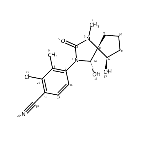 Cc1c(N2C(=O)N(C)[C@@]3(CCC[C@H]3O)[C@@H]2O)ccc(C#N)c1Cl